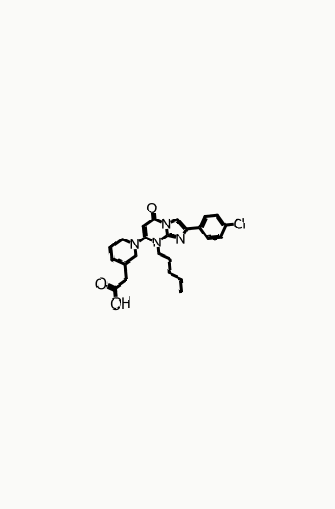 CCCCCn1c(N2CCCC(CC(=O)O)C2)cc(=O)n2cc(-c3ccc(Cl)cc3)nc12